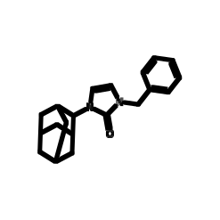 O=c1n(Cc2ccccc2)ccn1C1C2CC3CC(C2)CC1C3